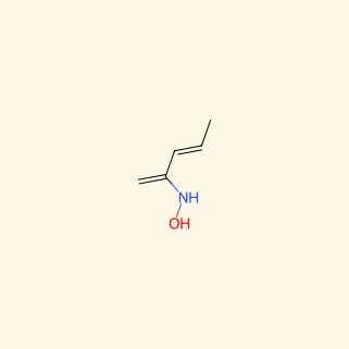 C=C(/C=C/C)NO